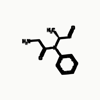 C[C@H]([C]=O)N(C(=O)CN)c1ccccc1